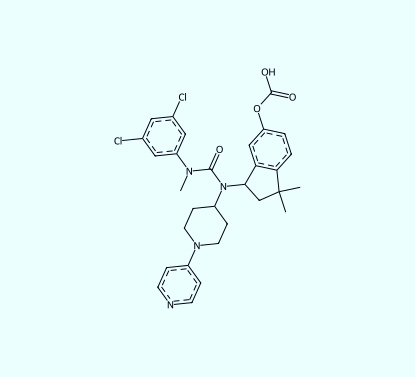 CN(C(=O)N(C1CCN(c2ccncc2)CC1)C1CC(C)(C)c2ccc(OC(=O)O)cc21)c1cc(Cl)cc(Cl)c1